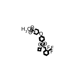 CS(=O)(=O)N1CCC(Oc2ccc(S(=O)(=O)N(Cc3ccccc3C(F)(F)F)C3CCC3)cc2)CC1